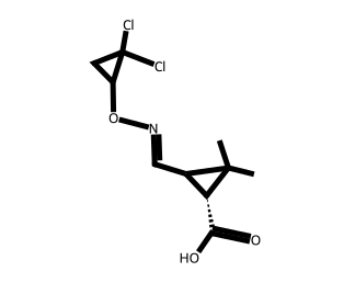 CC1(C)C(C=NOC2CC2(Cl)Cl)[C@H]1C(=O)O